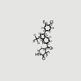 CC1(C)C(=O)NCCN1C(=O)c1ccc2c(-c3ccc(Cl)c(F)c3)cn(C(C)(C)C)c2n1